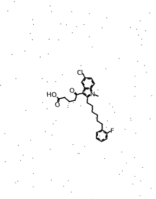 C[C@H](CC(=O)O)CC(=O)c1c(CCCCCCc2ccccc2F)n(C)c2ccc(Cl)cc12